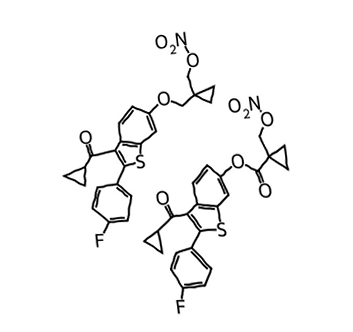 O=C(c1c(-c2ccc(F)cc2)sc2cc(OC(=O)C3(CO[N+](=O)[O-])CC3)ccc12)C1CC1.O=C(c1c(-c2ccc(F)cc2)sc2cc(OCC3(CO[N+](=O)[O-])CC3)ccc12)C1CC1